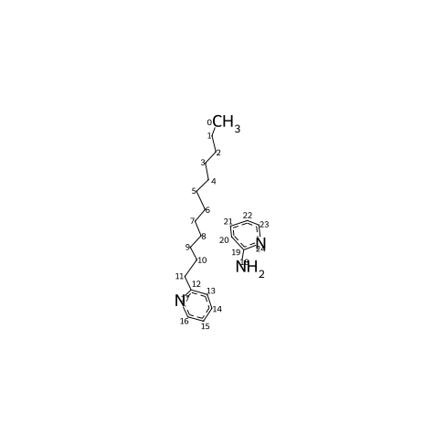 CCCCCCCCCCCCc1ccccn1.Nc1ccccn1